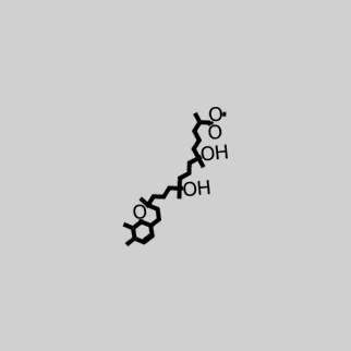 COC(=O)C(C)CCCC(C)(O)CCCC(C)(O)CCCC1(C)CCC2C=CC(C)C(C)C2O1